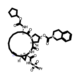 CC(C)S(=O)(=O)NC(=O)[C@@]12C[C@H]1/C=C\CCCCC[C@H](NC(=O)OC1CCCC1)C(=O)N1C[C@H](OC(=O)N3CCc4ccccc4C3)C[C@H]1C(=O)N2